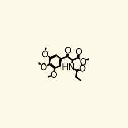 CCC(=O)NC(C(=O)OC)C(=O)c1cc(OC)c(OC)c(OC)c1